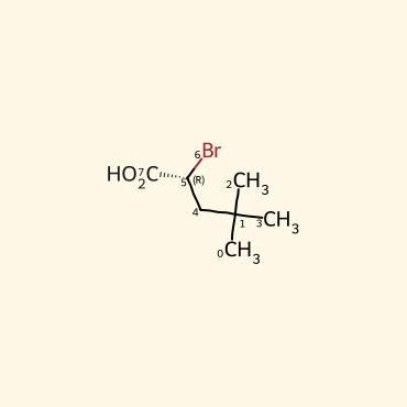 CC(C)(C)C[C@@H](Br)C(=O)O